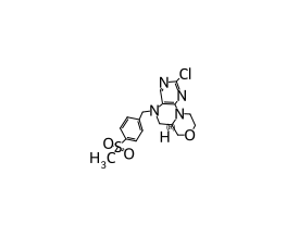 CS(=O)(=O)c1ccc(CN2C[C@@H]3COCCN3c3nc(Cl)ncc32)cc1